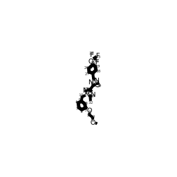 COCCOc1cccc(Cn2nc(-c3nc(-c4ccc(OC(F)(F)F)cc4)no3)nc2C)c1